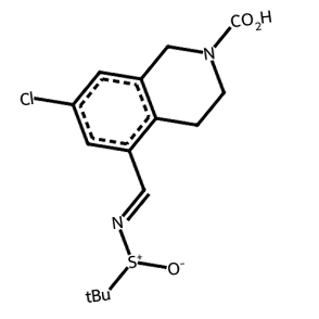 CC(C)(C)[S+]([O-])N=Cc1cc(Cl)cc2c1CCN(C(=O)O)C2